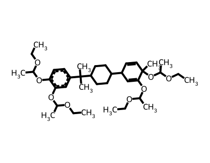 CCOC(C)OC1=CC(C2CCC(C(C)(C)c3ccc(OC(C)OCC)c(OC(C)OCC)c3)CC2)C=CC1(C)OC(C)OCC